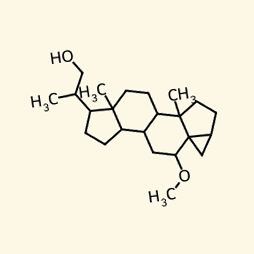 COC1CC2C3CCC(C(C)CO)C3(C)CCC2C2(C)CCC3CC312